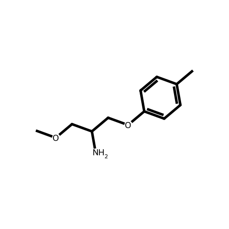 COCC(N)COc1ccc(C)cc1